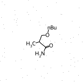 [CH2]CCCOCC(C)C(N)=O